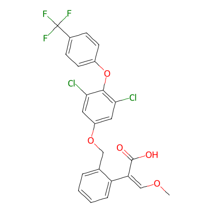 COC=C(C(=O)O)c1ccccc1COc1cc(Cl)c(Oc2ccc(C(F)(F)F)cc2)c(Cl)c1